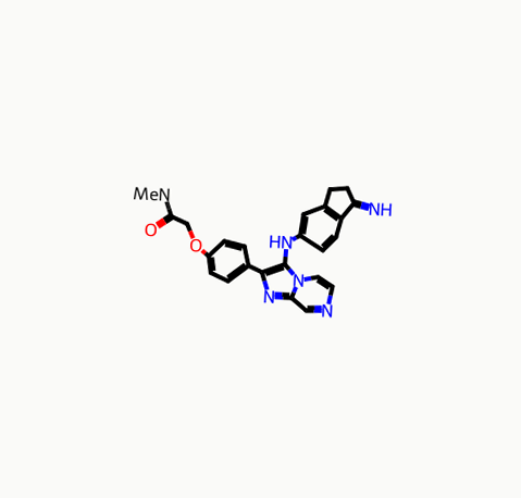 CNC(=O)COc1ccc(-c2nc3cnccn3c2Nc2ccc3c(c2)CCC3=N)cc1